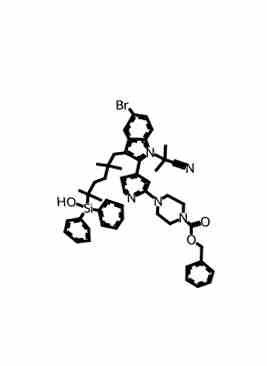 CC(C)(CCC(C)(C)[Si](O)(c1ccccc1)c1ccccc1)Cc1c(-c2ccnc(N3CCN(C(=O)OCc4ccccc4)CC3)c2)n(C(C)(C)C#N)c2ccc(Br)cc12